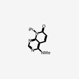 CNc1ncnc2c1ccc(=O)n2C(C)C